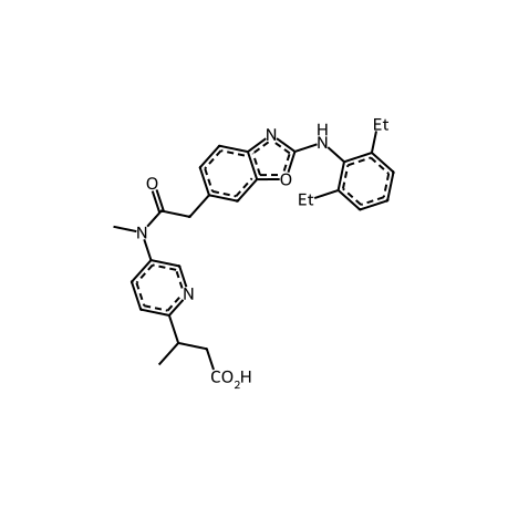 CCc1cccc(CC)c1Nc1nc2ccc(CC(=O)N(C)c3ccc(C(C)CC(=O)O)nc3)cc2o1